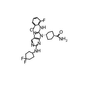 NC(=O)[C@H]1CC[C@H](n2c(Nc3c(F)cccc3Cl)nc3cnc(NC4CCC(F)(F)CC4)nc32)CC1